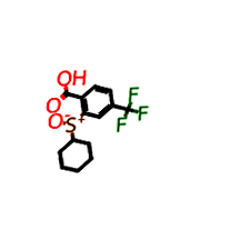 O=C(O)c1ccc(C(F)(F)F)cc1[S+]([O-])C1CCCCC1